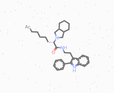 CC(=O)CCCCC[C@@H](C(=O)NCCc1c(-c2ccccc2)[nH]c2ccccc12)N1CC2CCCCC2C1